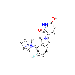 O=C1CCC(N2Cc3ccc(F)c(N4CC5CC(C4)N5)c3C2)C(=O)N1